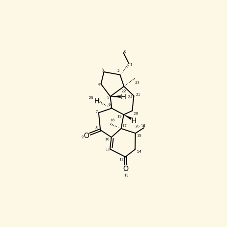 CC[C@H]1CC[C@H]2[C@@H]3CC(=O)C4=CC(=O)CC(C)[C@]4(C)[C@H]3CC[C@]12C